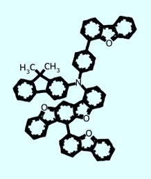 CC1(C)c2ccccc2-c2ccc(N(c3ccc(-c4cccc5c4oc4ccccc45)cc3)c3cccc4oc5c(-c6cccc7c6oc6ccccc67)c6c(cc5c34)oc3ccccc36)cc21